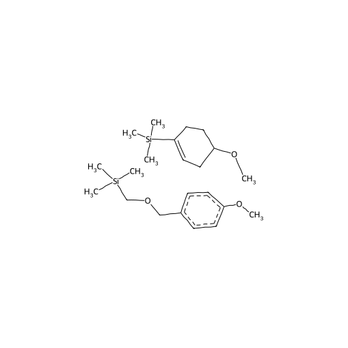 COC1CC=C([Si](C)(C)C)CC1.COc1ccc(COC[Si](C)(C)C)cc1